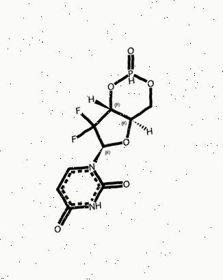 O=c1ccn([C@@H]2O[C@@H]3CO[PH](=O)O[C@H]3C2(F)F)c(=O)[nH]1